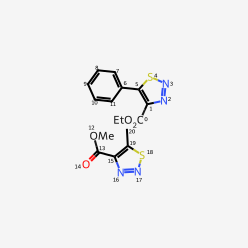 CCOC(=O)c1nnsc1-c1ccccc1.COC(=O)c1nnsc1C